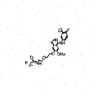 COc1cc2c(Nc3ccc(F)c(Cl)c3)ncnc2cc1OCCOCCNC(=O)C(F)(F)F